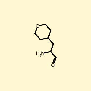 NC(C=O)CC1CCOCC1